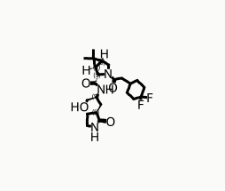 CC1(C)[C@@H]2[C@@H](C(=O)N[C@H](CO)C[C@@H]3CCNC3=O)N(C(=O)CC3CCC(F)(F)CC3)C[C@@H]21